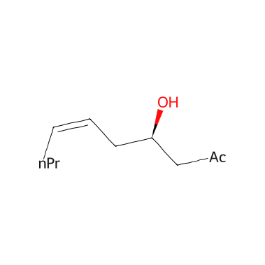 CCC/C=C\C[C@@H](O)CC(C)=O